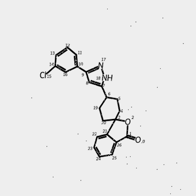 O=C1OC2(CCC(c3cc(-c4cccc(Cl)c4)n[nH]3)CC2)c2ccccc21